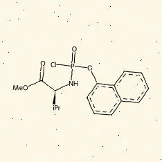 COC(=O)[C@@H](NP(=O)(Cl)Oc1cccc2ccccc12)C(C)C